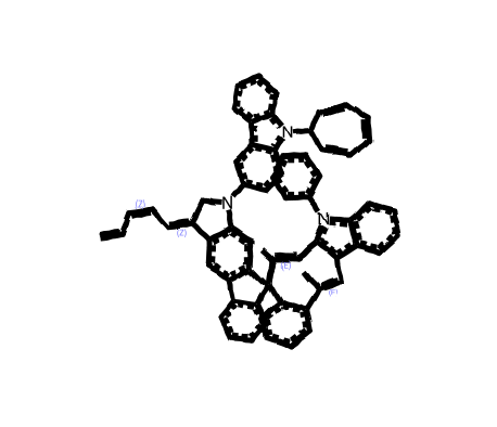 C=C/C=C\C=C1/CN(c2ccc3c(c2)c2ccccc2n3C2C=CC=CC=C2)c2cc3c(cc21)-c1ccccc1C31/C(C)=C/c2c(c3ccccc3n2-c2ccccc2)/C=C(\C)c2ccccc21